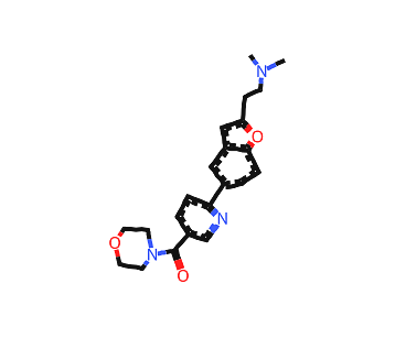 CN(C)CCc1cc2cc(-c3ccc(C(=O)N4CCOCC4)cn3)ccc2o1